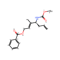 C=CC[C@H](NC(=O)OC(C)(C)C)/C(C)=C/COC(=O)c1ccccc1